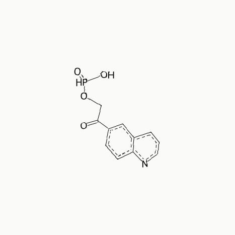 O=C(CO[PH](=O)O)c1ccc2ncccc2c1